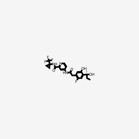 CC[C@](C)(O)c1cc(F)c(CC(=O)Nc2ccnc(C(=O)NC3(C(F)(F)F)CC3)c2)cc1O